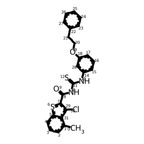 Cc1cccc2sc(C(=O)NC(=S)Nc3cccc(OCCc4ccccc4)c3)c(Cl)c12